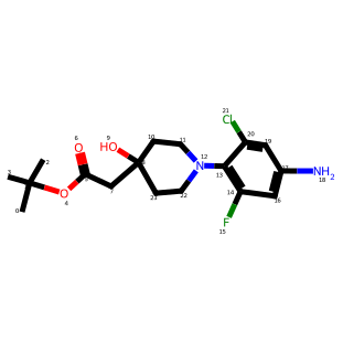 CC(C)(C)OC(=O)CC1(O)CCN(c2c(F)cc(N)cc2Cl)CC1